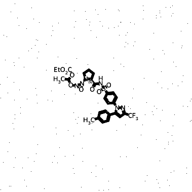 CCOC(=O)OC(C)On1on1N1CCC[C@H]1C(=O)NS(=O)(=O)c1ccc(-n2nc(C(F)(F)F)cc2-c2ccc(C)cc2)cc1